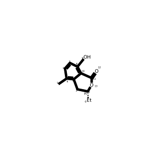 CC[C@@H]1Cc2c(C)ccc(O)c2C(=O)O1